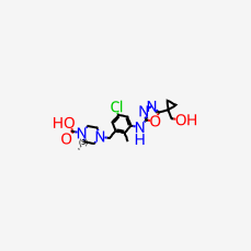 Cc1c(CN2CCN(C(=O)O)[C@@H](C)C2)cc(Cl)cc1Nc1nnc(C2(CO)CC2)o1